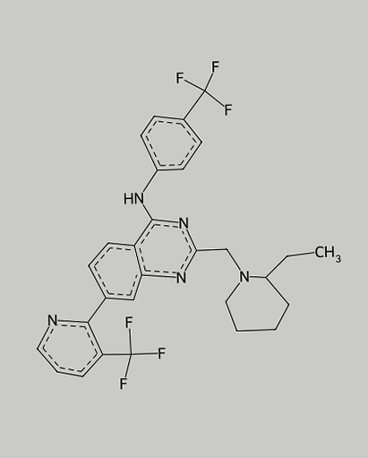 CCC1CCCCN1Cc1nc(Nc2ccc(C(F)(F)F)cc2)c2ccc(-c3ncccc3C(F)(F)F)cc2n1